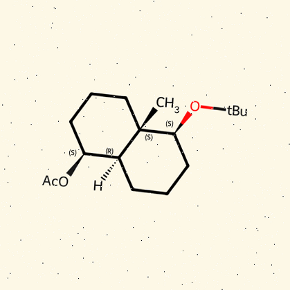 CC(=O)O[C@H]1CCC[C@]2(C)[C@@H](OC(C)(C)C)CCC[C@@H]12